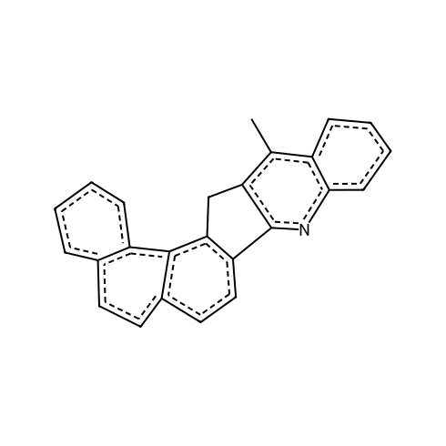 Cc1c2c(nc3ccccc13)-c1ccc3ccc4ccccc4c3c1C2